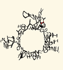 CC[C@H](C)[C@@H]1NC(=O)[C@@H](CCCNC(=N)N)NC(=O)[C@H](CC(C)C)NC(=O)[C@H]([C@H](O)C(C)C)NC(=O)[C@@H](NC(=O)[C@H](CC(C)C)NC(=O)[C@@H](CC2CCCC2)NC(=O)OC(C)(C)C)[C@@H](c2ccccc2)OC(=O)[C@H](CO)NC(=O)[C@H]([C@H](O)C(N)=O)NC(=O)CNC(=O)[C@H]([C@H](C)O)NC1=O